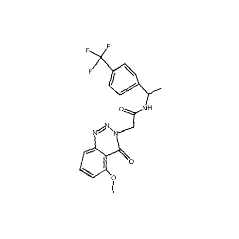 COc1cccc2nnn(CC(=O)NC(C)c3ccc(C(F)(F)F)cc3)c(=O)c12